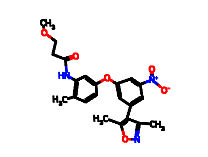 COCCC(=O)Nc1cc(Oc2cc(-c3c(C)noc3C)cc([N+](=O)[O-])c2)ccc1C